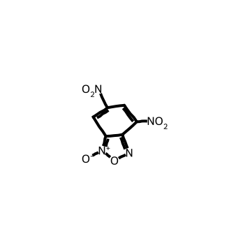 O=[N+]([O-])c1cc([N+](=O)[O-])c2no[n+]([O-])c2c1